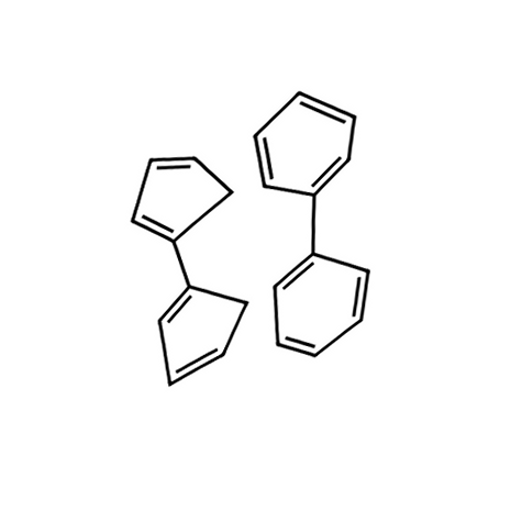 C1=CCC(C2=CC=CC2)=C1.c1ccc(-c2ccccc2)cc1